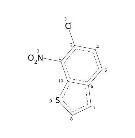 O=[N+]([O-])c1c(Cl)ccc2ccsc12